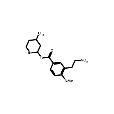 CNc1ccc(C(=O)OC2CC(C(F)(F)F)CCN2)cc1CC[N+](=O)[O-]